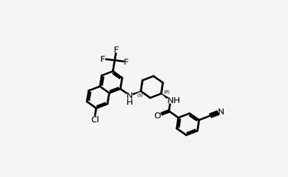 N#Cc1cccc(C(=O)N[C@@H]2CCC[C@H](Nc3cc(C(F)(F)F)cc4ccc(Cl)cc34)C2)c1